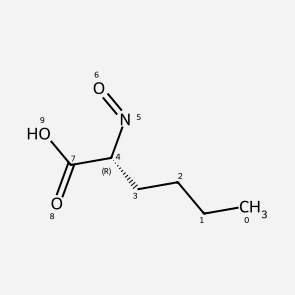 CCCC[C@@H](N=O)C(=O)O